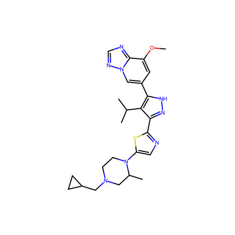 COc1cc(-c2[nH]nc(-c3ncc(N4CCN(CC5CC5)CC4C)s3)c2C(C)C)cn2ncnc12